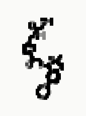 Cc1nc(SCC(=O)c2ccc(CNC(=O)CO)s2)c2cc(N3CCCCC3)ccc2n1